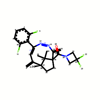 C=C1/C=C(c2c(F)cccc2F)\N=N/C(=C)C2(C(=O)N3CC(F)(F)C3)CC[C@H]1C2(C)C